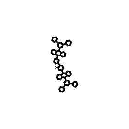 c1ccc(-c2cc(-c3ccccc3)cc(-c3c4ccccc4c(-c4ccc5c(c4)sc4ccc(-c6c7ccccc7c(-c7cc(-c8ccccc8)cc(-c8ccccc8)c7)c7ccccc67)cc45)c4ccccc34)c2)cc1